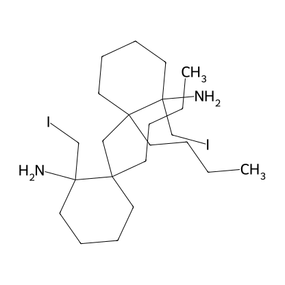 CCCCC1(CC2(CCCC)CCCCC2(N)CI)CCCCC1(N)CI